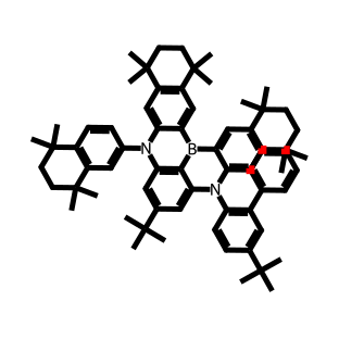 CC(C)(C)c1ccc(N2c3cc4c(cc3B3c5cc6c(cc5N(c5ccc7c(c5)C(C)(C)CCC7(C)C)c5cc(C(C)(C)C)cc2c53)C(C)(C)CCC6(C)C)C(C)(C)CCC4(C)C)c(-c2ccccc2)c1